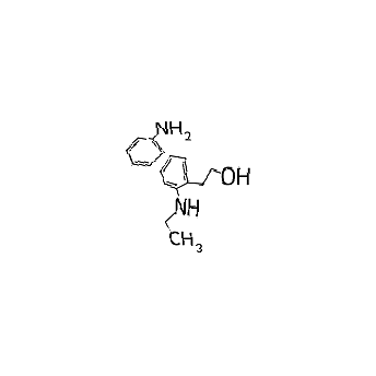 CCNc1ccccc1CCO.Nc1ccccc1